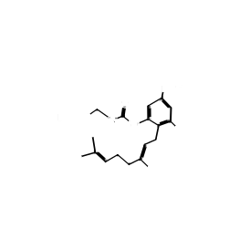 CCCCCc1cc(O)c(C/C=C(\C)CCC=C(C)C)c(OC(=O)NCC(=O)OCC)c1